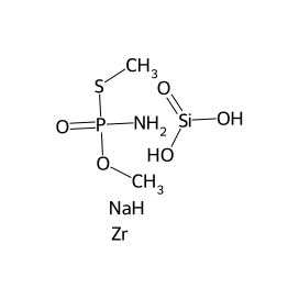 COP(N)(=O)SC.O=[Si](O)O.[NaH].[Zr]